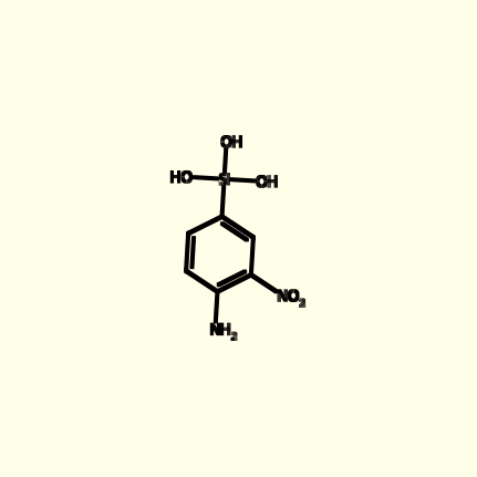 Nc1ccc([Si](O)(O)O)cc1[N+](=O)[O-]